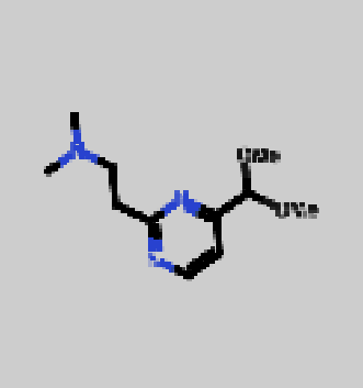 COC(OC)c1ccnc(CCN(C)C)n1